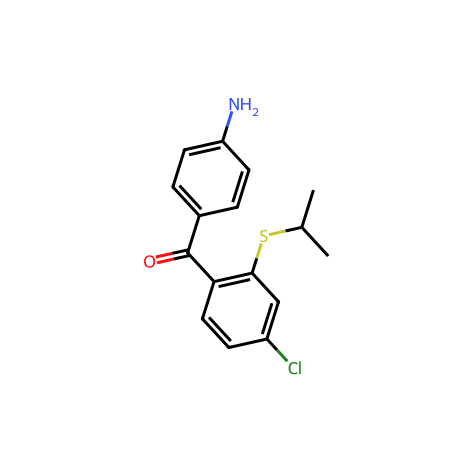 CC(C)Sc1cc(Cl)ccc1C(=O)c1ccc(N)cc1